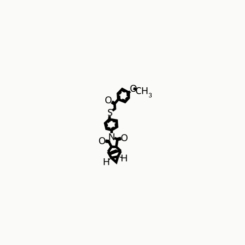 COc1ccc(C(=O)CSc2ccc(N3C(=O)C4C(C3=O)C3C=CC4[C@H]4C[C@@H]34)cc2)cc1